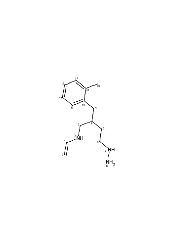 C=CNCC(CCNN)Cc1ccccc1C